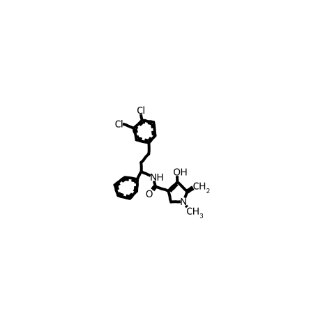 C=C1C(O)=C(C(=O)NC(CCc2ccc(Cl)c(Cl)c2)c2ccccc2)CN1C